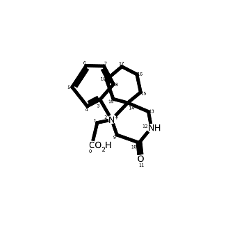 O=C(O)C[N+]1(c2ccccc2)CC(=O)NCC12CCCCC2